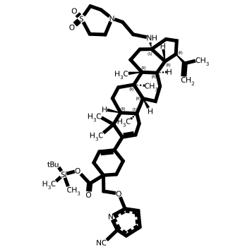 C=C(C)[C@@H]1CC[C@]2(NCCN3CCS(=O)(=O)CC3)CC[C@]3(C)[C@H](CC[C@@H]4[C@@]5(C)CC=C(C6=CCC(COc7cccc(C#N)n7)(C(=O)O[Si](C)(C)C(C)(C)C)CC6)C(C)(C)[C@@H]5CC[C@]43C)[C@@H]12